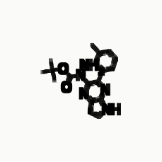 Cc1cccc(-c2nc3[nH]ccc3nc2N(N)C(=O)OC(C)(C)C)c1